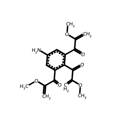 C=C(OC)C(=O)c1cc(N)cc(C(=O)C(=C)OC)c1C(=O)C(=C)OC